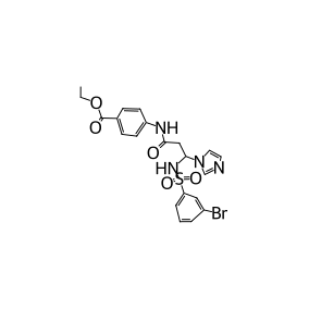 CCOC(=O)c1ccc(NC(=O)CC(NS(=O)(=O)c2cccc(Br)c2)n2ccnc2)cc1